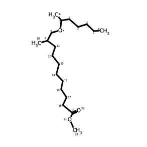 CCCCCC(C)OCC(C)CCCCCCCCC(=O)OC